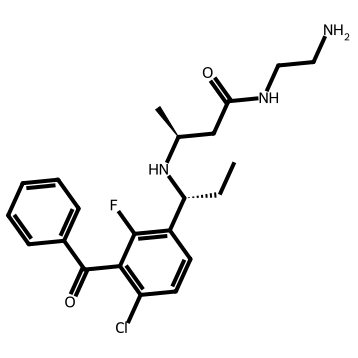 CC[C@@H](N[C@@H](C)CC(=O)NCCN)c1ccc(Cl)c(C(=O)c2ccccc2)c1F